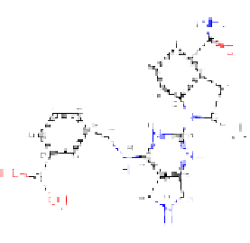 CC1Cc2c(C(N)=O)cccc2N1c1nc2c(c(NCc3cccc(B(O)O)c3)n1)CNC2